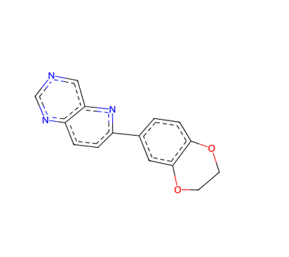 c1ncc2nc(-c3ccc4c(c3)OCCO4)ccc2n1